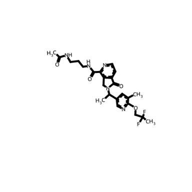 CC(=O)NCCCNC(=O)c1nccc2c1CN(C(C)c1cnc(OCC(C)(F)F)c(C)c1)C2=O